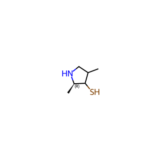 CC1CN[C@H](C)C1S